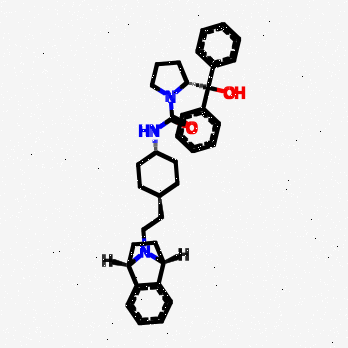 O=C(N[C@H]1CC[C@H](CCN2[C@@H]3CC[C@H]2c2ccccc23)CC1)N1CCC[C@@H]1C(O)(c1ccccc1)c1ccccc1